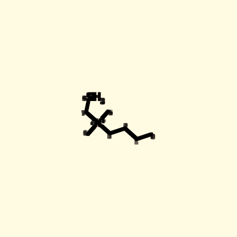 CCCC[N+](C)(C)C[SiH3]